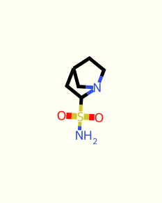 NS(=O)(=O)C1CC2CCN1C2